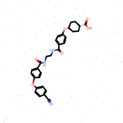 N#Cc1ccc(Oc2ccc(C(=O)NCCNC(=O)c3ccc(O[C@H]4CC[C@@H](C(=O)O)CC4)cc3)cc2)cc1